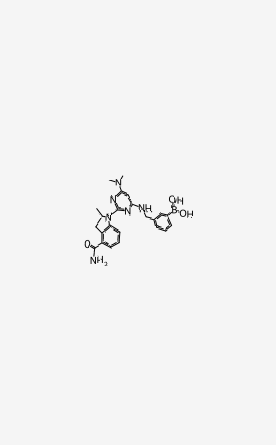 CC1Cc2c(C(N)=O)cccc2N1c1nc(NCc2cccc(B(O)O)c2)cc(N(C)C)n1